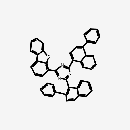 c1ccc(-c2ccc3ccccc3c2-c2nc(-c3ccc(-c4ccccc4)c4ccccc34)nc(-c3cccc4c3sc3ccccc34)n2)cc1